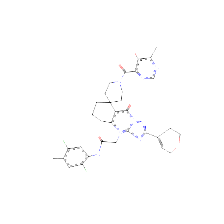 Cc1ncnc(C(=O)N2CCC3(CCCc4c3c(=O)n3nc(C5=CCOCC5)nc3n4CC(=O)Nc3cc(F)c(C(F)(F)F)cc3Cl)CC2)c1O